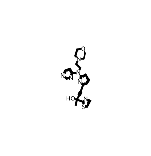 CC(O)(C#Cc1cccc(N(CCN2CCOCC2)c2ccncn2)n1)c1nccs1